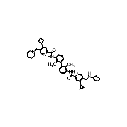 Cc1c(NC(=O)c2cc(C3CC3)c(CNC3COC3)cn2)cccc1-c1cccc(NC(=O)c2cc(C3CCC3)c(CN3CCCCC3)cn2)c1C